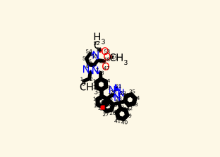 CCCc1nc2c(n1Cc1ccc(-c3ccccc3-c3nnnn3C(c3ccccc3)(c3ccccc3)c3ccccc3)cc1)C(C(=O)OC)N(C(C)=O)CC2